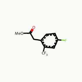 COC(=O)Cc1ccc(F)cc1C(F)(F)F